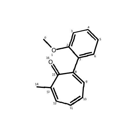 COc1ccccc1-c1ccccc(C)c1=O